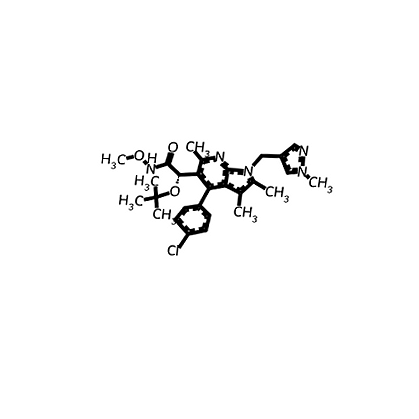 CONC(=O)[C@@H](OC(C)(C)C)c1c(C)nc2c(c(C)c(C)n2Cc2cnn(C)c2)c1-c1ccc(Cl)cc1